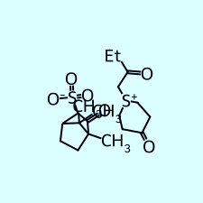 CC12CCC(C(S(=O)(=O)[O-])C1=O)C2(C)C.CCC(=O)C[S+]1CCC(=O)CC1